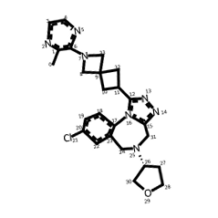 Cc1nccnc1N1CC2(CC(c3nnc4n3-c3ccc(Cl)cc3CN([C@@H]3CCOC3)C4)C2)C1